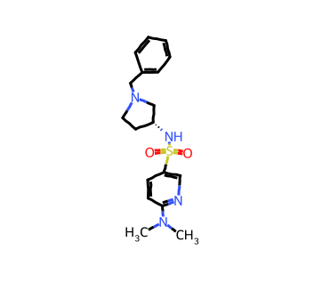 CN(C)c1ccc(S(=O)(=O)N[C@@H]2CCN(Cc3ccccc3)C2)cn1